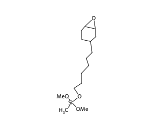 CO[Si](C)(OC)OCCCCCCC1CCC2OC2C1